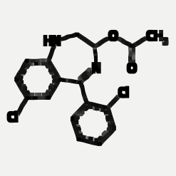 CC(=O)OC1CNc2ccc(Cl)cc2C(c2ccccc2Cl)=N1